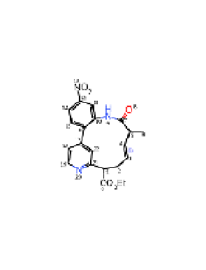 CCOC(=O)C1C/C=C/C(C)C(=O)Nc2cc([N+](=O)[O-])ccc2-c2ccnc1c2